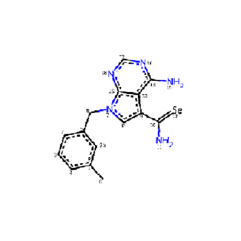 Cc1cccc(Cn2cc(C(N)=[Se])c3c(N)ncnc32)c1